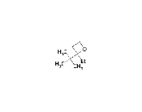 CCC1(C(C)(C)C)CCO1